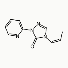 C/C=C\n1cnn(-c2ccccn2)c1=O